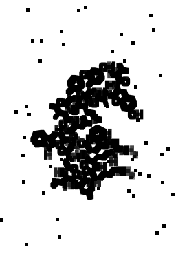 CC[C@@H](C)[C@@H](NC(=O)CNC(=O)[C@@H](C)NC(=O)[C@H](Cc1c[nH]c2ccccc12)NC(=O)[C@H](CC(C)C)NC(=O)[C@@H](NC(=O)[C@H](Cc1ccc(O)cc1)NC(=O)[C@H](CCSC)NC(=O)[C@H](Cc1ccc(O)cc1)NC(=O)[C@H](C)NC(=O)[C@H](Cc1ccc(O)cc1)NC(=O)[C@@H](N)C(C)C)[C@@H](C)CC)C(=O)N[C@H](CC(C)C)C(=O)N[C@H](CCCCN)C(=O)N[C@H](CCCNC(=N)N)C(=O)N[C@H](Cc1c[nH]c2ccccc12)C(N)=O